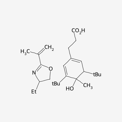 C=C(C)C1=NC(CC)CO1.CC(C)(C)C1=CC(CCC(=O)O)=CC(C(C)(C)C)C1(C)O